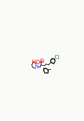 Cc1ccccc1.O=C(O)C(CCCc1ccc(Cl)cc1)CN1CCCCC1